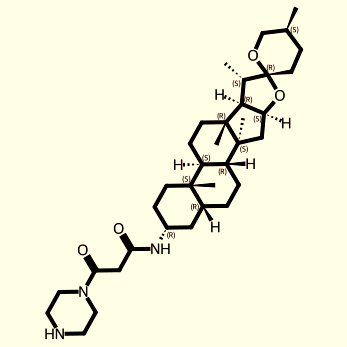 C[C@H]1CC[C@@]2(OC1)O[C@H]1C[C@@]3(C)[C@@H]4CC[C@@H]5C[C@H](NC(=O)CC(=O)N6CCNCC6)CC[C@]5(C)[C@H]4CC[C@]3(C)[C@H]1[C@@H]2C